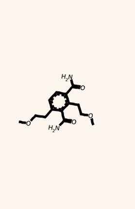 COCCc1ccc(C(N)=O)c(CCOC)c1C(N)=O